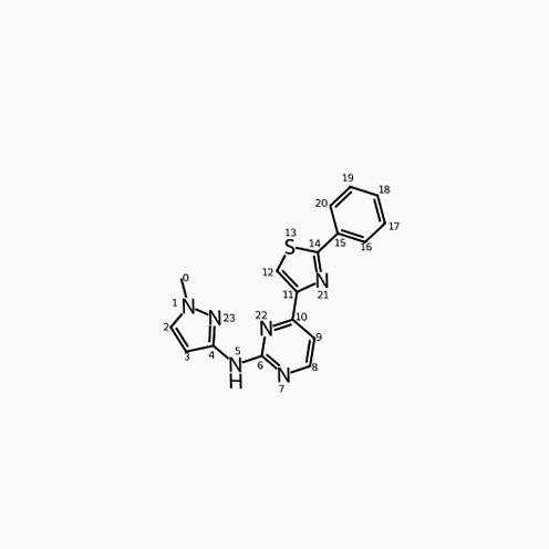 Cn1ccc(Nc2nccc(-c3csc(-c4ccccc4)n3)n2)n1